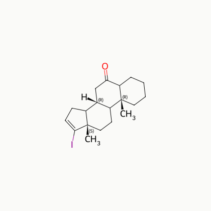 C[C@]12CCCCC1C(=O)C[C@@H]1C2CC[C@]2(C)C(I)=CCC12